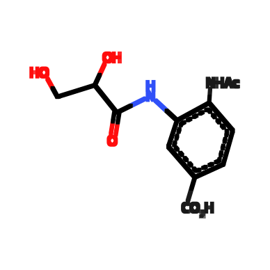 CC(=O)Nc1ccc(C(=O)O)cc1NC(=O)C(O)CO